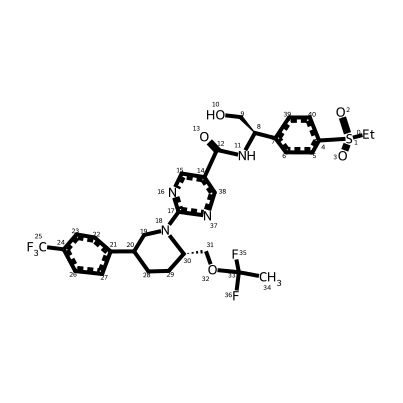 CCS(=O)(=O)c1ccc([C@H](CO)NC(=O)c2cnc(N3CC(c4ccc(C(F)(F)F)cc4)CC[C@H]3COC(C)(F)F)nc2)cc1